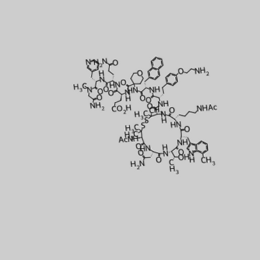 CC(=O)NCCCC[C@@H]1NC(=O)[C@H](Cc2c[nH]c3c(C)cccc23)NC(=O)[C@H]([C@@H](C)O)NC(=O)[C@H](CC(N)=O)NC(=O)[C@@H](NC(C)=O)C(C)(C)SSC(C)(C)[C@@H](C(=O)N[C@@H](CCc2ccc(OCCN)cc2)C(=O)N[C@@H](Cc2ccc3ccccc3c2)C(=O)NC2(C(=O)N[C@@H](CCC(=O)O)C(=O)N[C@@H](CCC(N)=O)C(=O)N[C@@H](Cc3cccnc3)C(=O)N(C)CC(N)=O)CCOCC2)NC1=O